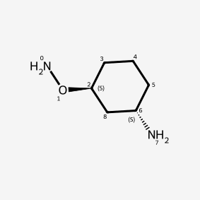 NO[C@H]1CCC[C@H](N)C1